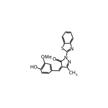 COc1cc(C=C2C(=O)N(c3nc4ccccc4s3)N=C2C)ccc1O